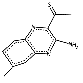 CC(=S)c1nc2ccc(C)cc2nc1N